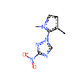 Cc1ccn(C)c1-n1cnc([N+](=O)[O-])n1